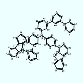 c1ccc(-c2cccc(-c3cccc(N(c4ccc(-c5cccc6c5oc5ccccc56)cc4)c4cccc(-c5ccccc5-n5c6ccccc6c6ccccc65)c4)c3)c2)cc1